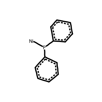 [Ni][P](c1ccccc1)c1ccccc1